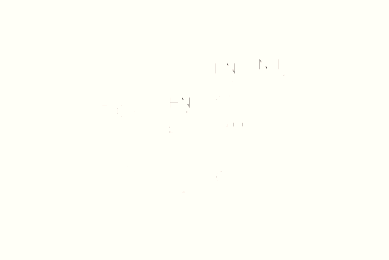 Cl.NNC(=O)Nc1ccccc1C(F)(F)F